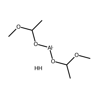 COC(C)[O][Al][O]C(C)OC.[HH]